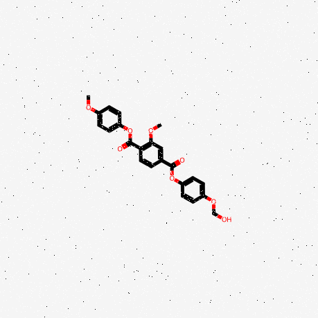 COc1ccc(OC(=O)c2ccc(C(=O)Oc3ccc(OCO)cc3)cc2OC)cc1